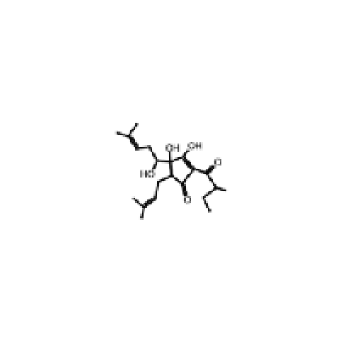 CCC(C)C(=O)C1=C(O)C(O)(C(O)CC=C(C)C)C(CC=C(C)C)C1=O